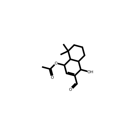 CC(=O)OC1C=C(C=O)C(O)C2CCCC(C)(C)C12